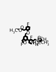 CCOC(=O)Cc1cc(F)ccc1OCc1cc(-c2ccnc(CN[S+]([O-])C(C)(C)C)c2F)c2oc(F)cc2c1